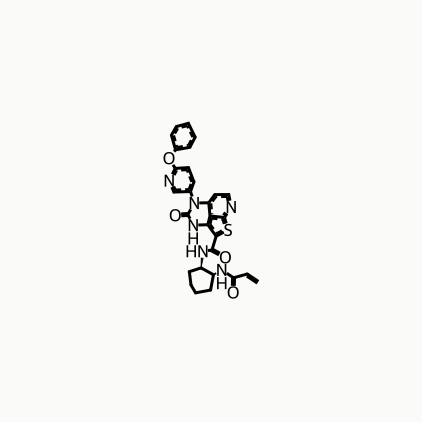 C=CC(=O)N[C@@H]1CCCC[C@H]1NC(=O)c1sc2nccc3c2c1NC(=O)N3c1ccc(Oc2ccccc2)nc1